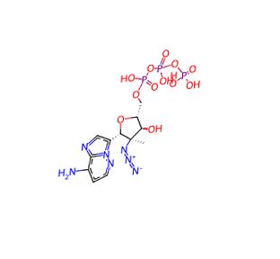 C[C@@]1(N=[N+]=[N-])[C@H](O)[C@@H](COP(=O)(O)OP(=O)(O)OP(=O)(O)O)O[C@H]1c1cnc2c(N)ccnn12